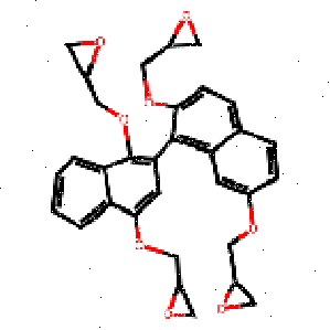 c1ccc2c(OCC3CO3)c(-c3c(OCC4CO4)ccc4ccc(OCC5CO5)cc34)cc(OCC3CO3)c2c1